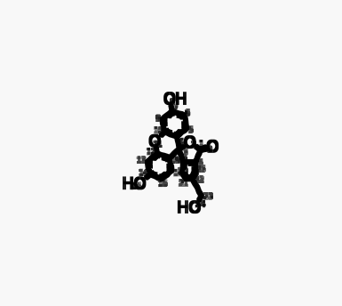 O=C1OC2(c3ccc(O)cc3Oc3cc(O)ccc32)c2ccc(CO)cc21